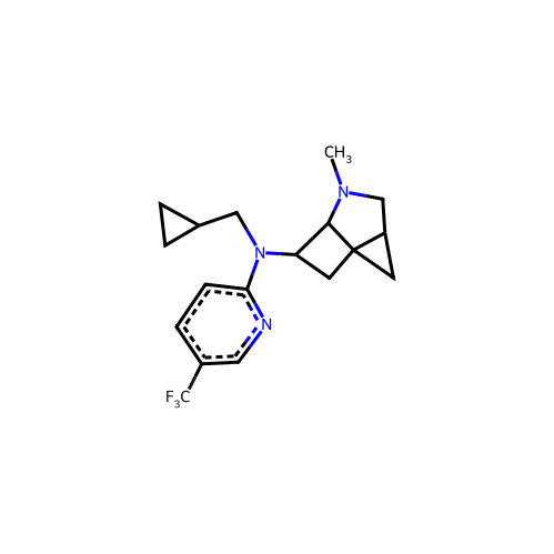 CN1CC2CC23CC(N(CC2CC2)c2ccc(C(F)(F)F)cn2)C13